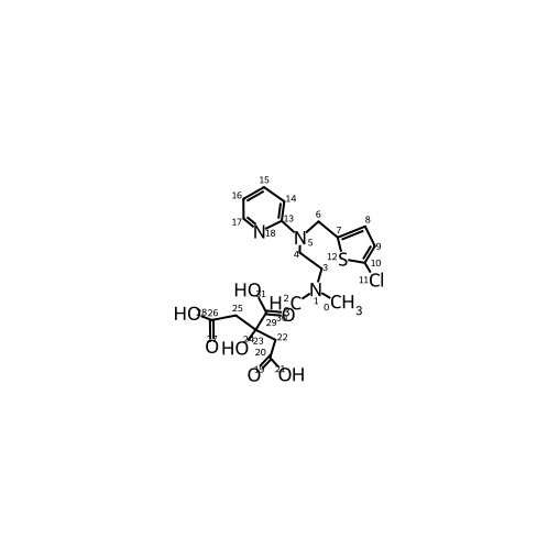 CN(C)CCN(Cc1ccc(Cl)s1)c1ccccn1.O=C(O)CC(O)(CC(=O)O)C(=O)O